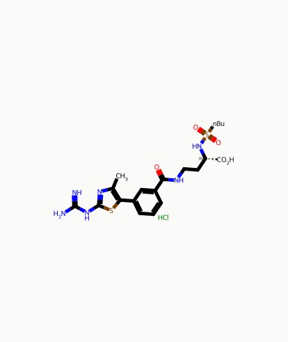 CCCCS(=O)(=O)N[C@@H](CCNC(=O)c1cccc(-c2sc(NC(=N)N)nc2C)c1)C(=O)O.Cl